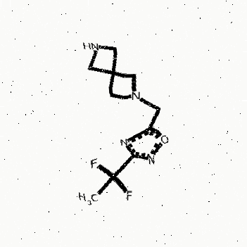 CC(F)(F)c1noc(CN2CC3(CNC3)C2)n1